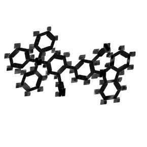 N#Cc1cc([Si](c2ccccc2)(c2ccccc2)c2ccccc2)ccc1-c1ccc(-n2c3ccccc3c3ccccc32)c(C#N)c1